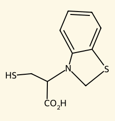 O=C(O)C(CS)N1CSc2ccccc21